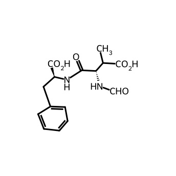 CC(C(=O)O)[C@H](NC=O)C(=O)N[C@@H](Cc1ccccc1)C(=O)O